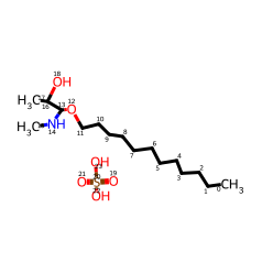 CCCCCCCCCCCCOC(NC)C(C)O.O=S(=O)(O)O